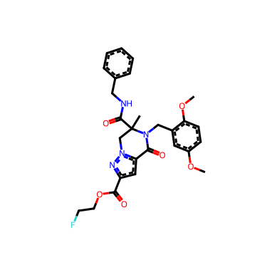 COc1ccc(OC)c(CN2C(=O)c3cc(C(=O)OCCF)nn3CC2(C)C(=O)NCc2ccccc2)c1